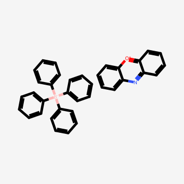 c1ccc([B-](c2ccccc2)(c2ccccc2)c2ccccc2)cc1.c1ccc2[o+]c3ccccc3nc2c1